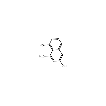 Cc1cc(O)cc2cccc(O)c12